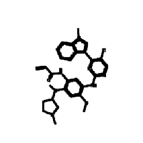 C=CC(=O)Nc1cc(Nc2ncc(Cl)c(-c3cn(C)c4ccccc34)n2)c(OC)cc1N(C)C1CCN(C)C1